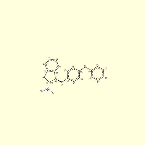 CN(C)[C@@H]1Cc2ccccc2[C@H]1Cc1ccc(Cc2ccccc2)cc1